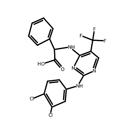 O=C(O)C(Nc1nc(Nc2ccc(Cl)c(Cl)c2)ncc1C(F)(F)F)c1ccccc1